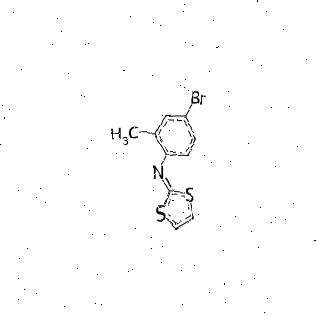 Cc1cc(Br)ccc1N=c1sccs1